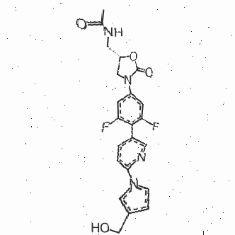 CC(=O)NC[C@H]1CN(c2cc(F)c(-c3ccc(-n4ccc(CO)c4)nc3)c(F)c2)C(=O)O1